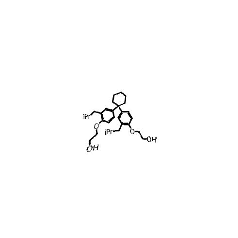 CC(C)Cc1cc(C2(c3ccc(OCCO)c(CC(C)C)c3)CCCCC2)ccc1OCCO